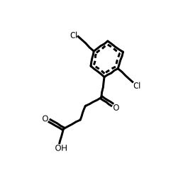 O=C(O)CCC(=O)c1cc(Cl)ccc1Cl